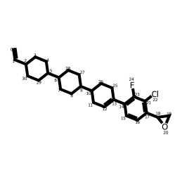 C=CC1CCC(C2CCC(C3CC=C(c4ccc(C5CO5)c(Cl)c4F)CC3)CC2)CC1